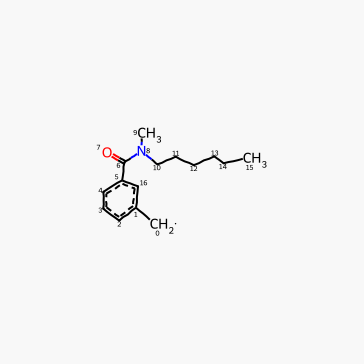 [CH2]c1cccc(C(=O)N(C)CCCCCC)c1